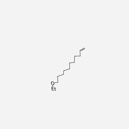 C=CCCCCCCCCCOCC